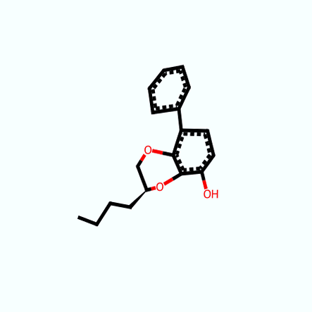 CCCC[C@H]1COc2c(-c3ccccc3)ccc(O)c2O1